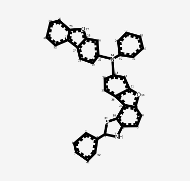 c1ccc(C2Nc3ccc4oc5cc(N(c6ccccc6)c6ccc7c(c6)oc6ccccc67)ccc5c4c3S2)cc1